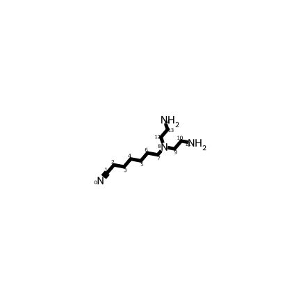 N#CCCCCCCN(CCN)CCN